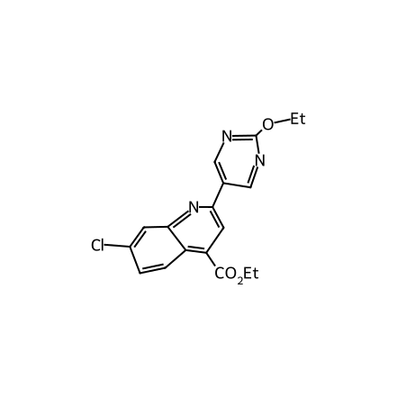 CCOC(=O)c1cc(-c2cnc(OCC)nc2)nc2cc(Cl)ccc12